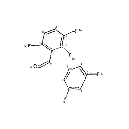 Fc1cccc(F)c1.O=Cc1c(F)ccc(F)c1F